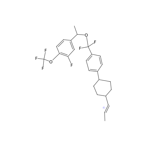 C/C=C/C1CCC(c2ccc(C(F)(F)OC(C)c3ccc(OC(F)(F)F)c(F)c3)cc2)CC1